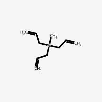 C=CC[Si](C)(CC=C)CC=C